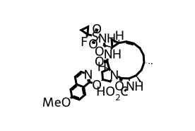 COc1ccc2c(O[C@@H]3C[C@H]4C(=O)N[C@]5(C(=O)NS(=O)(=O)C6(F)CC6)C[C@H]5/C=C\CC[C@H](C)C[C@@H](C)[C@H](NC(=O)O)C(=O)N4C3)nccc2c1